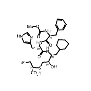 CC(C)C[C@H](SC[C@H](O)[C@H](CC1CCCCC1)NC(=O)[C@H](Cc1c[nH]cn1)NC(=O)[C@H](Cc1ccccc1)NC(=O)OC(C)(C)C)C(=O)O